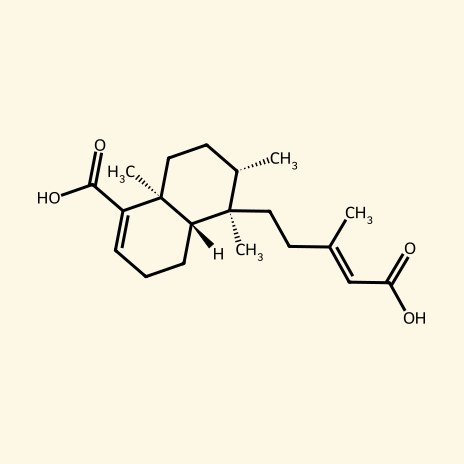 C/C(=C\C(=O)O)CC[C@]1(C)[C@@H](C)CC[C@]2(C)C(C(=O)O)=CCC[C@@H]12